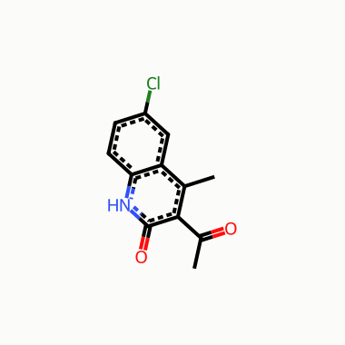 CC(=O)c1c(C)c2cc(Cl)ccc2[nH]c1=O